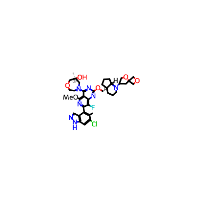 COc1nc(-c2c(C)c(Cl)cc3[nH]ncc23)c(F)c2nc(OC[C@]34CCC[C@H]3N(C3COC5(COC5)C3)CCC4)nc(N3CCOC[C@@](C)(O)C3)c12